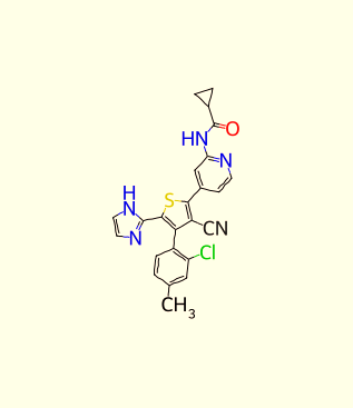 Cc1ccc(-c2c(-c3ncc[nH]3)sc(-c3ccnc(NC(=O)C4CC4)c3)c2C#N)c(Cl)c1